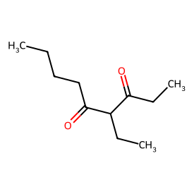 CCCCC(=O)C(CC)C(=O)CC